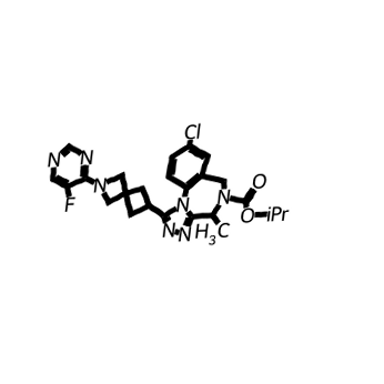 CC(C)OC(=O)N1Cc2cc(Cl)ccc2-n2c(C3CC4(C3)CN(c3ncncc3F)C4)nnc2C1C